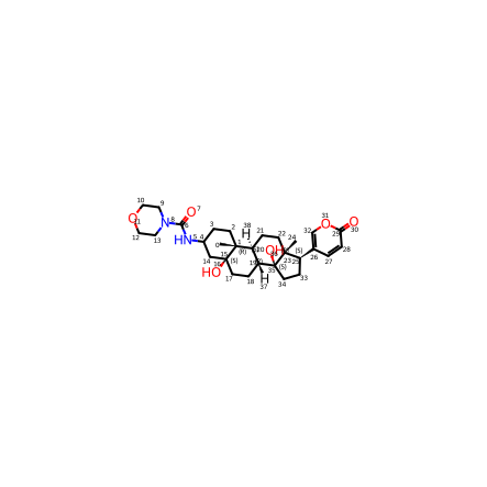 C[C@]12CCC(NC(=O)N3CCOCC3)C[C@@]1(O)CC[C@@H]1[C@@H]2CC[C@]2(C)[C@@H](c3ccc(=O)oc3)CC[C@]12O